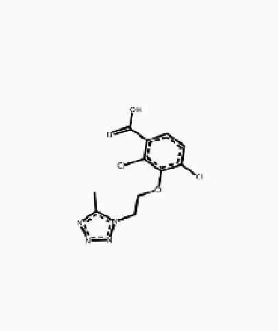 Cc1nnnn1CCOc1c(Cl)ccc(C(=O)O)c1Cl